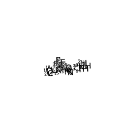 [2H]C([2H])([2H])N1CCC(c2nnc([C@]34CN(Cc5ccccc5)C[C@@]3(C(F)(F)F)C4)o2)CC1